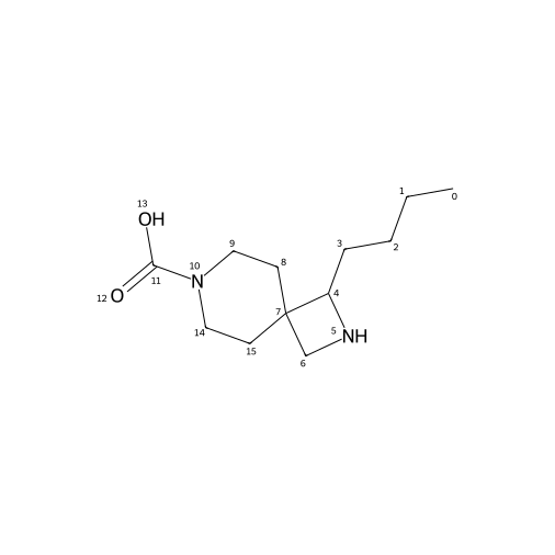 CCCCC1NCC12CCN(C(=O)O)CC2